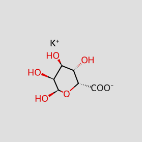 O=C([O-])[C@@H]1O[C@@H](O)[C@@H](O)[C@@H](O)[C@@H]1O.[K+]